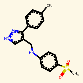 CS(=O)(=O)c1ccc(NCc2c[nH]nc2-c2ccc(C(F)(F)F)cc2)cc1